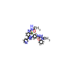 CC(=O)Nc1nc2c(s1)-c1c(c(-c3cccnc3)nn1-c1ccc(NC(=O)CN(C)C3CCCCC3)cc1F)CC2